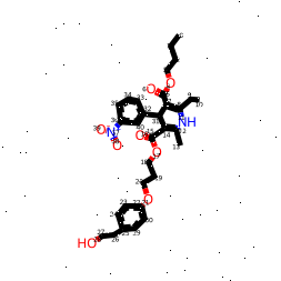 CCCCOC(=O)C1=C(CC)NC(C)=C(C(=O)OCCCOc2ccc(CCO)cc2)C1c1cccc([N+](=O)[O-])c1